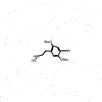 COc1cc(C(C)C)c(OC)cc1CCNS